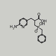 Nc1ccc(CC(CP(=O)(O)Cc2ccccc2)C(=O)O)cn1